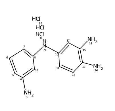 Cl.Cl.Cl.Nc1cccc(Nc2ccc(N)c(N)c2)c1